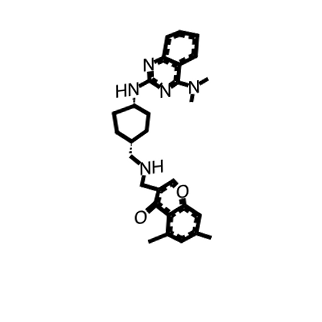 Cc1cc(C)c2c(=O)c(CNC[C@H]3CC[C@@H](Nc4nc(N(C)C)c5ccccc5n4)CC3)coc2c1